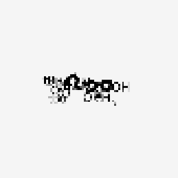 Cn1c2cc(O)ccc2c2cnn(Cc3cccc(N(C(=O)OC(C)(C)C)C(C)(C)C)n3)c(=O)c21